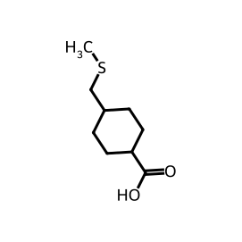 CSCC1CCC(C(=O)O)CC1